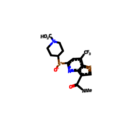 CNC(=O)c1csc2c(C(F)(F)F)cc([S+]([O-])C3CCN(C(=O)O)CC3)nc12